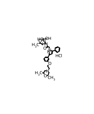 CC(C)C[C@H](NC(=O)Cn1nc(-c2cccc(OCCN3CC(C)OC(C)C3)c2)cc1-c1ccccc1)B(O)O.Cl